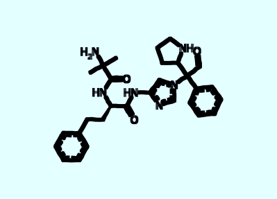 CC(C)(N)C(=O)N[C@H](CCc1ccccc1)C(=O)Nc1cn(C(C=O)(c2ccccc2)C2CCCN2)cn1